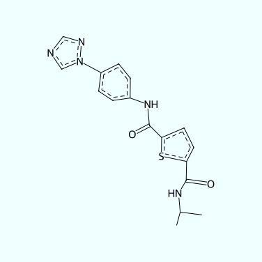 CC(C)NC(=O)c1ccc(C(=O)Nc2ccc(-n3cncn3)cc2)s1